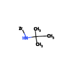 CC(C)(C)[NH][Zr]